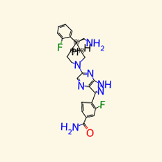 NC[C@]1(c2ccccc2F)[C@@H]2CCN(c3cnc4c(-c5ccc(C(N)=O)cc5F)n[nH]c4n3)C[C@@H]21